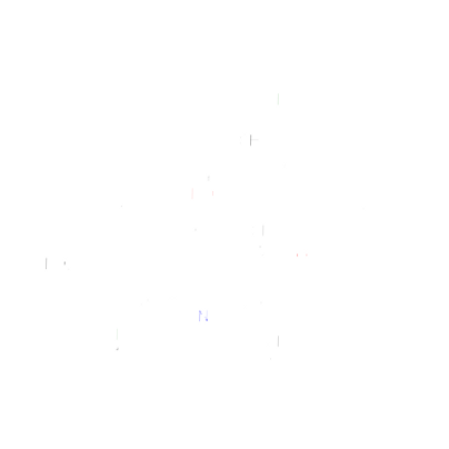 Cc1ccc2cc(Oc3cccc(F)c3C(C)(C)O)c(C)nc2c1F